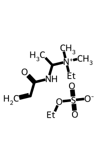 C=CC(=O)NC(C)[N+](C)(C)CC.CCOS(=O)(=O)[O-]